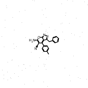 Cc1ccc(-c2c(C#N)c(N)oc3nnc(Cc4ccccc4)c2-3)cc1